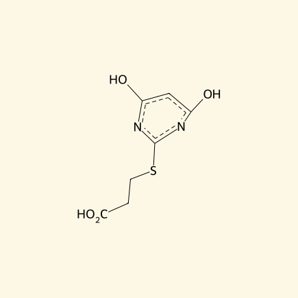 O=C(O)CCSc1nc(O)cc(O)n1